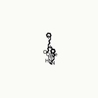 COC(=O)CCN(CCCCN1CCCCC1)Cc1ccc(CNCc2ncc[nH]2)cc1